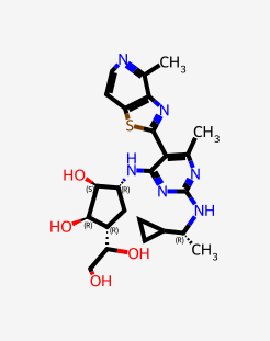 Cc1nc(N[C@H](C)C2CC2)nc(N[C@@H]2C[C@H](C(O)CO)[C@@H](O)[C@H]2O)c1-c1nc2c(C)nccc2s1